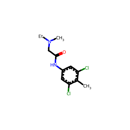 CCN(C)CC(=O)Nc1cc(Cl)c(C)c(Cl)c1